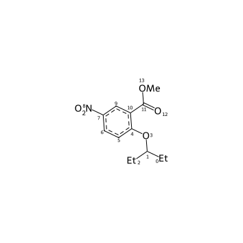 CCC(CC)Oc1ccc([N+](=O)[O-])cc1C(=O)OC